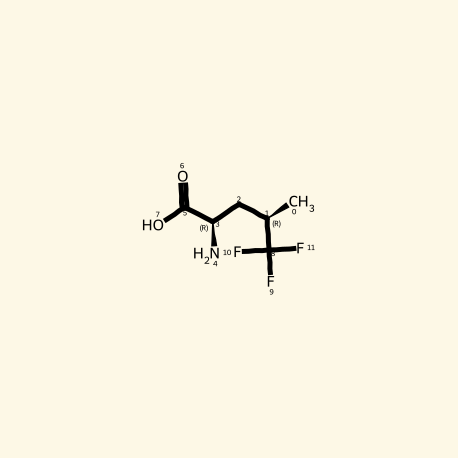 C[C@H](C[C@@H](N)C(=O)O)C(F)(F)F